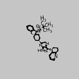 CC(C)(C)[S@@+]([O-])/N=C1\c2ccccc2C[C@]12CC[C@H](c1cnc3c(N4CCCc5ncccc54)n[nH]c3n1)CC2